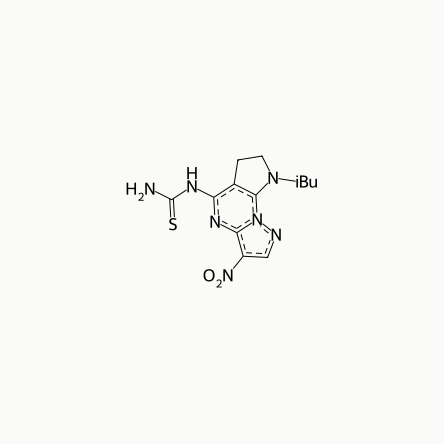 CCC(C)N1CCc2c(NC(N)=S)nc3c([N+](=O)[O-])cnn3c21